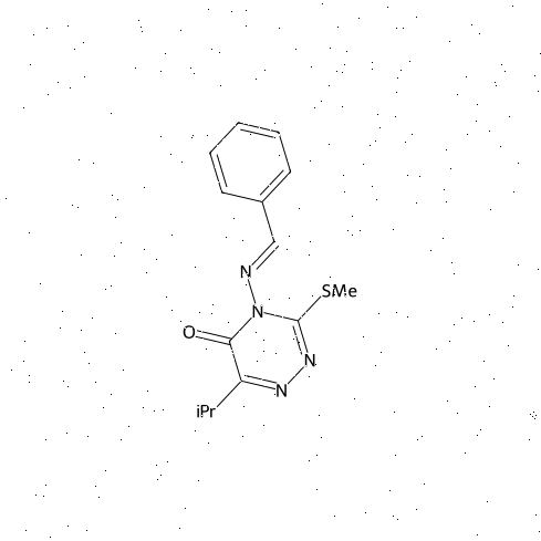 CSc1nnc(C(C)C)c(=O)n1/N=C/c1ccccc1